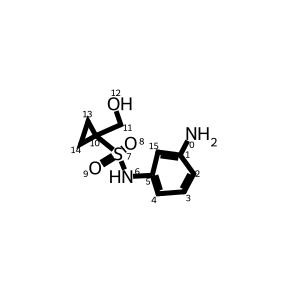 Nc1cccc(NS(=O)(=O)C2(CO)CC2)c1